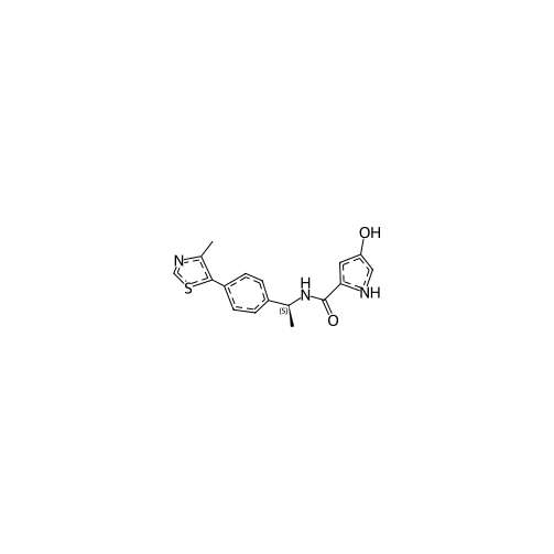 Cc1ncsc1-c1ccc([C@H](C)NC(=O)c2cc(O)c[nH]2)cc1